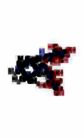 CCC1=C(C)c2cc3[nH]c(cc4nc(cc5[nH]c(cc1n2)c(C)c5CC)C(C)=C4CCCCNC(=O)CN(CCN(CCN(CC(=O)O)CC(=O)O)CC(=O)O)CC(=O)O)c(CCCCNC(=O)CN(CCN(CCN(CC(=O)O)CC(=O)O)CC(=O)O)CC(=O)O)c3C